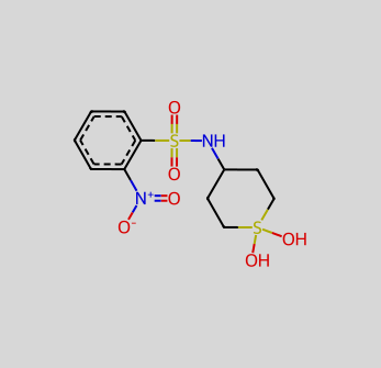 O=[N+]([O-])c1ccccc1S(=O)(=O)NC1CCS(O)(O)CC1